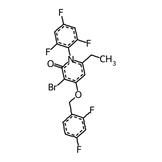 CCc1cc(OCc2ccc(F)cc2F)c(Br)c(=O)n1-c1c(F)cc(F)cc1F